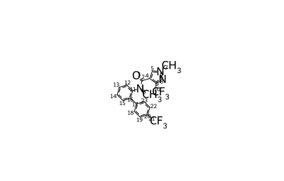 CN(C(=O)c1cn(C)nc1C(F)(F)F)c1ccccc1-c1ccc(C(F)(F)F)cc1